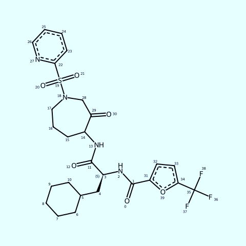 O=C(N[C@@H](CC1CCCCC1)C(=O)NC1CCCN(S(=O)(=O)c2ccccn2)CC1=O)c1ccc(C(F)(F)F)o1